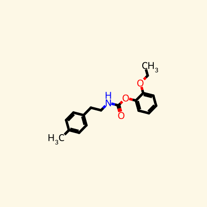 CCOc1ccccc1OC(=O)NCCc1ccc(C)cc1